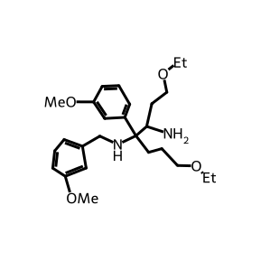 CCOCCCC(NCc1cccc(OC)c1)(c1cccc(OC)c1)C(N)CCOCC